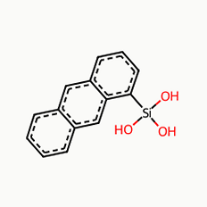 O[Si](O)(O)c1cccc2cc3ccccc3cc12